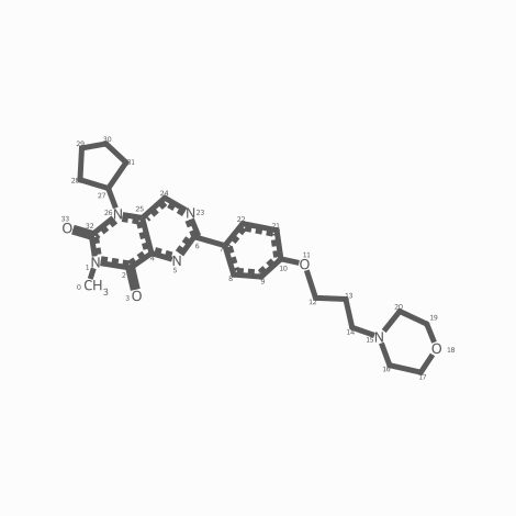 Cn1c(=O)c2nc(-c3ccc(OCCCN4CCOCC4)cc3)ncc2n(C2CCCC2)c1=O